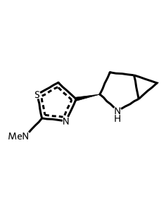 CNc1nc([C@H]2CC3CC3N2)cs1